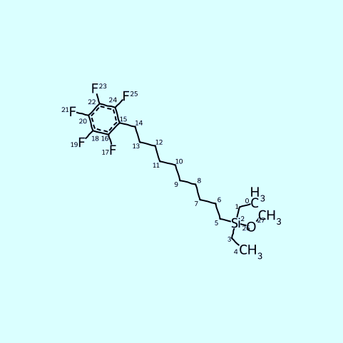 CC[Si](CC)(CCCCCCCCCCc1c(F)c(F)c(F)c(F)c1F)OC